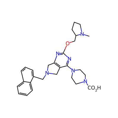 CN1CCCC1COc1nc2c(c(N3CCN(C(=O)O)CC3)n1)CN(Cc1cccc3ccccc13)C2